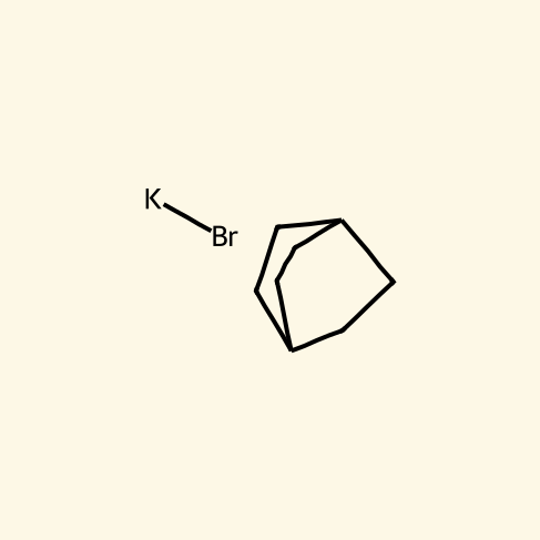 C1CC2CCC1CC2.[K][Br]